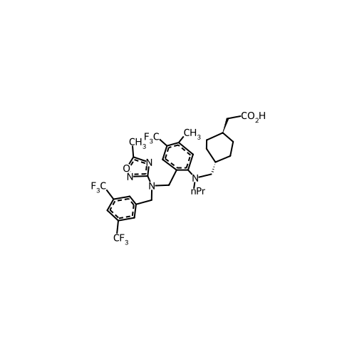 CCCN(C[C@H]1CC[C@H](CC(=O)O)CC1)c1cc(C)c(C(F)(F)F)cc1CN(Cc1cc(C(F)(F)F)cc(C(F)(F)F)c1)c1noc(C)n1